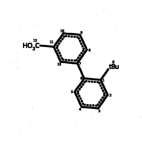 CC(C)(C)c1ccccc1-c1cccc(C(=O)O)c1